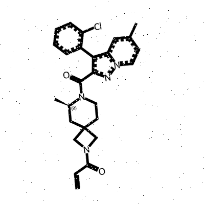 C=CC(=O)N1CC2(CCN(C(=O)c3nn4ccc(C)cc4c3-c3ccccc3Cl)[C@H](C)C2)C1